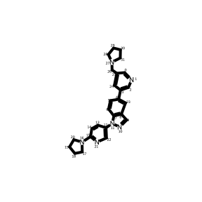 c1ncc(-c2ccc3c(cnn3-c3ccc(N4CCCC4)nc3)c2)cc1CN1CCCC1